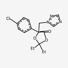 CCC1(CC)OC(=O)C(Cn2cncn2)(c2ccc(Cl)cc2)O1